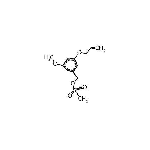 C=CCOc1cc(COS(C)(=O)=O)cc(OC)c1